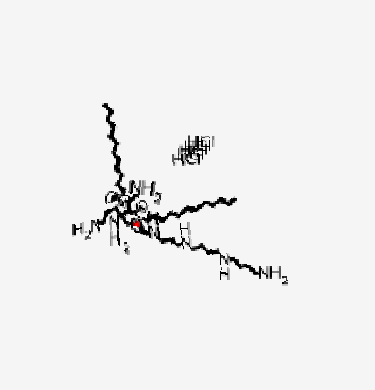 CCCCCCCCCCCCS(=O)(=O)C(CCN)C(N)(CCCNCCCNCCCCNCCCCN)C(CCN)S(=O)(=O)CCCCCCCCCCCC.Cl.Cl.Cl.Cl.Cl